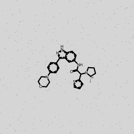 C[C@H]1CCCN1C(C(=O)Nc1ccc2[nH]nc(-c3ccc(N4CCOCC4)cc3)c2c1)c1cccs1